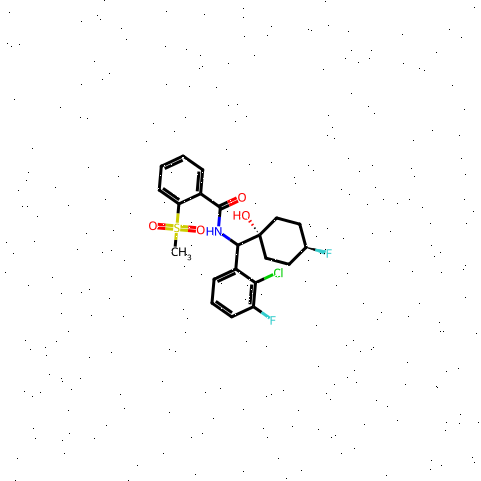 CS(=O)(=O)c1ccccc1C(=O)NC(c1cccc(F)c1Cl)[C@]1(O)CC[C@H](F)CC1